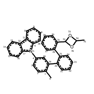 Cc1ccc(-n2c3ccccc3c3ccccc32)cc1-c1ccccc1-c1ccccc1C1OC(C)O1